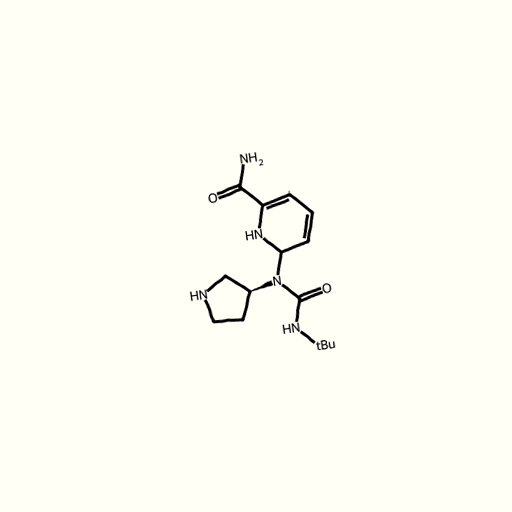 CC(C)(C)NC(=O)N(C1C=C[C]=C(C(N)=O)N1)[C@H]1CCNC1